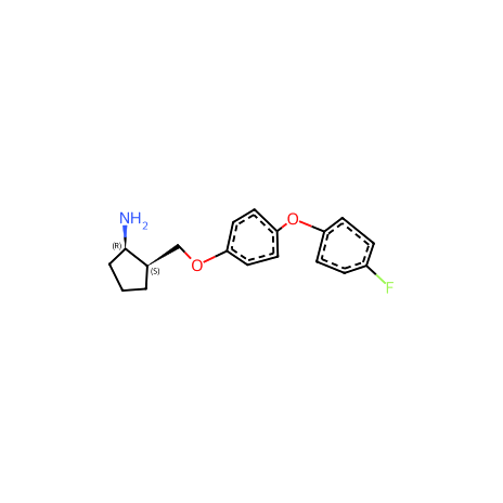 N[C@@H]1CCC[C@@H]1COc1ccc(Oc2ccc(F)cc2)cc1